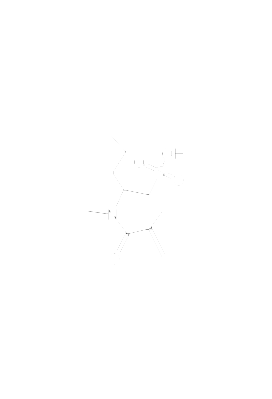 C=C(C)C(=O)N(C)C(CCC)CS(=O)(=O)O